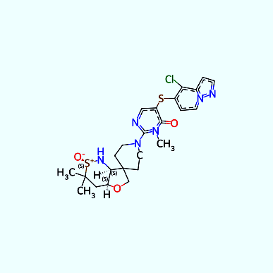 Cn1c(N2CCC3(CC2)CO[C@H]2CC(C)(C)[S@@+]([O-])N[C@H]23)ncc(Sc2ccn3nccc3c2Cl)c1=O